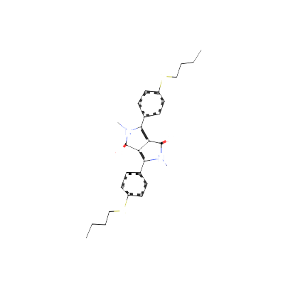 CCCCSc1ccc(C2=C3C(=O)N(C)C(c4ccc(SCCCC)cc4)=C3C(=O)N2C)cc1